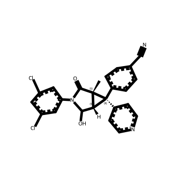 C[C@]12C(=O)N(c3cc(Cl)cc(Cl)c3)C(O)[C@H]1[C@]2(c1ccncc1)c1ccc(C#N)cc1